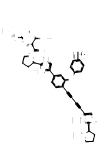 COC(=O)N[C@H](C(=O)N1CCCC1c1ncc(-c2ccc(C#CC#Cc3cnc(C4CCCN4)[nH]3)c(Sc3ccccc3)c2)[nH]1)C(C)C.Cl.Cl.Cl